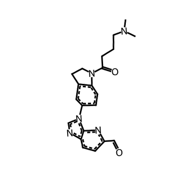 CN(C)CCCC(=O)N1CCc2cc(-n3cnc4ccc(C=O)nc43)ccc21